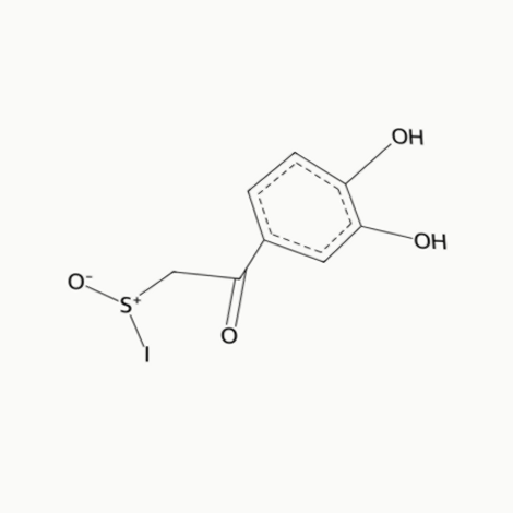 O=C(C[S+]([O-])I)c1ccc(O)c(O)c1